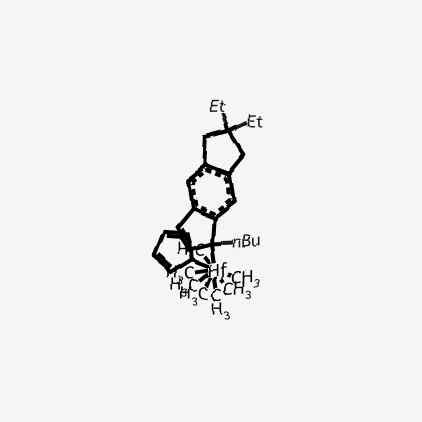 CCCC[C]1([Hf]([CH3])([CH3])([CH3])([CH3])([CH3])([CH3])([CH3])[CH]2C=CC=C2)C=Cc2cc3c(cc21)CC(CC)(CC)C3